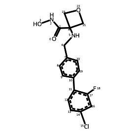 O=C(NO)C1(NCc2ccc(-c3ccc(Cl)cc3F)cc2)COC1